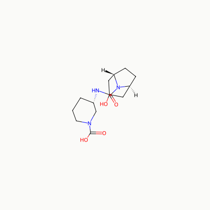 O=C(O)N1CCC[C@H](NC(=O)N2[C@H]3CC[C@H]2CC(O)C3)C1